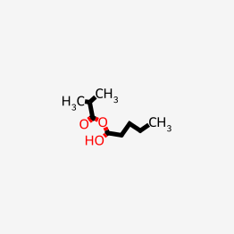 CCCCC(O)OC(=O)C(C)C